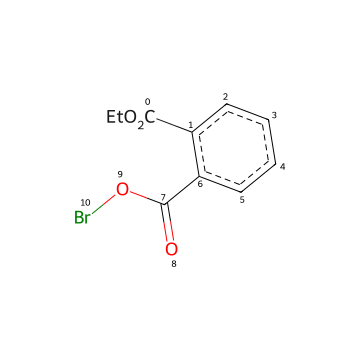 CCOC(=O)c1ccccc1C(=O)OBr